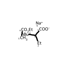 CCCCC(CC)C(=O)[O-].CCOC(C)=O.[Na+]